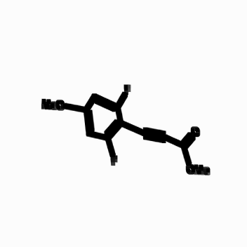 COC(=O)C#Cc1c(F)cc(OC)cc1F